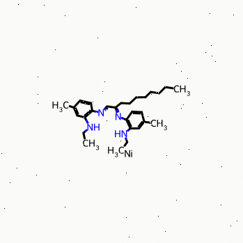 CCCCCCCCC(C=Nc1ccc(C)cc1NCC)=Nc1ccc(C)cc1NCC.[Ni]